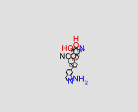 CN(C)[C@H]1C[C@@]23CC[C@]4(O2)C2CC=C(c5ccc6ccnc(N)c6c5)[C@@]2(C)CCC4(C#N)C=C3[C@@H](O)[C@@H]1O